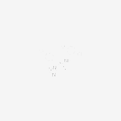 O=C(NC1CCCOc2ccc(Cl)cc21)N1CCCC1c1ncnn1Cc1ccc(Cl)cc1